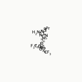 CCCSc1nc(N)nc2c1ncn2CCOCP(=O)(OCC(F)(F)F)OCC(F)(F)F